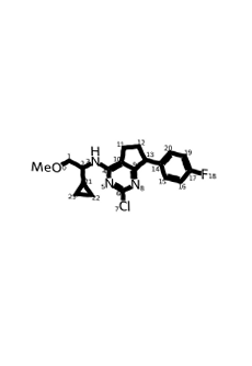 COCC(Nc1nc(Cl)nc2c1CCC2c1ccc(F)cc1)C1CC1